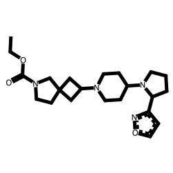 CCOC(=O)N1CCC2(CC(N3CCC(N4CCCC4c4ccon4)CC3)C2)C1